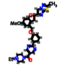 CCN1CCN(C(=O)c2cnc(-c3cccc(OCc4cc(OC)cc5oc(-c6cn7nc(C)sc7n6)cc45)c3)nc2)CC1